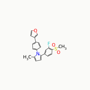 Cc1ccc(-c2ccc(S(C)(=O)=O)c(F)c2)n1-c1ccc(-c2ccoc2)cc1